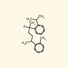 Cc1ccccc1C(C)CCC(C)(F)c1ccccc1C(C)C